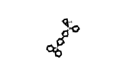 C1=Cc2c(c3c(n2-c2ccc(C4=CCC(N(c5ccccc5)C5C6CCC[C@@H]65)C=C4)cc2)CCC=C3)CC1